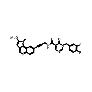 COc1nc2cnc3ccc(C#CCNC(=O)c4cncn(Cc5ccc(F)c(F)c5)c4=O)cc3c2n1C